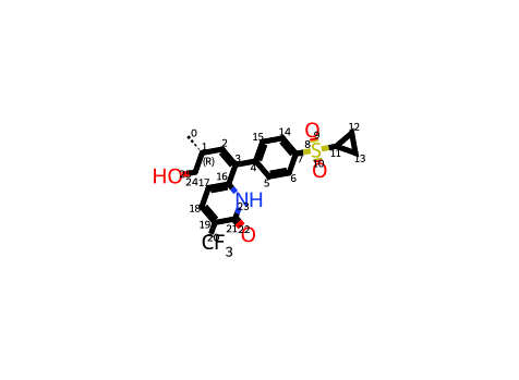 C[C@H](C=C(c1ccc(S(=O)(=O)C2CC2)cc1)c1ccc(C(F)(F)F)c(=O)[nH]1)CO